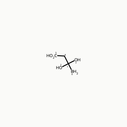 BC(O)(O)CC(=O)O